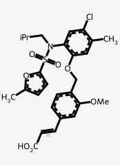 COc1cc(/C=C/C(=O)O)ccc1COc1cc(C)c(Cl)cc1N(CC(C)C)S(=O)(=O)c1ccc(C)o1